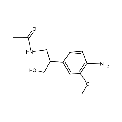 COc1cc(C(CO)CNC(C)=O)ccc1N